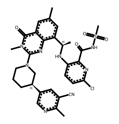 Cc1cc([C@@H](C)Nc2ccc(Cl)nc2C(=O)NS(C)(=O)=O)c2nc(N3CCC[C@H](c4cnc(C)c(C#N)c4)C3)n(C)c(=O)c2c1